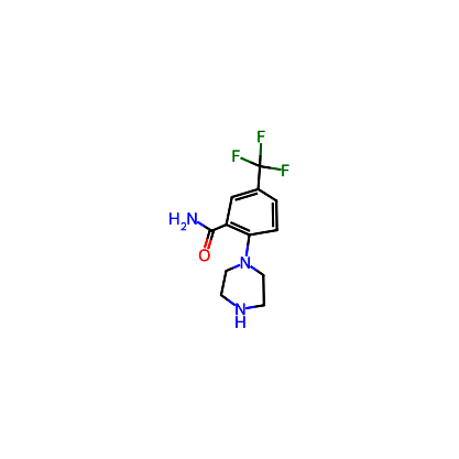 NC(=O)c1cc(C(F)(F)F)ccc1N1CCNCC1